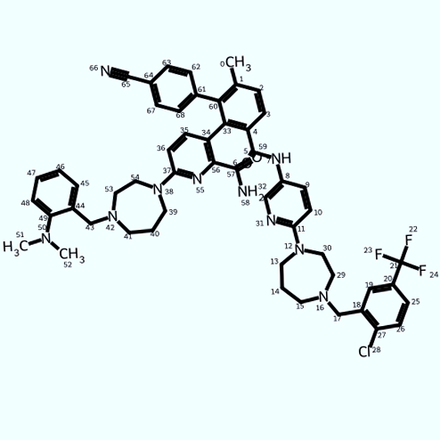 Cc1ccc(C(=O)Nc2ccc(N3CCCN(Cc4cc(C(F)(F)F)ccc4Cl)CC3)nc2)c(-c2ccc(N3CCCN(Cc4ccccc4N(C)C)CC3)nc2C(N)=O)c1-c1ccc(C#N)cc1